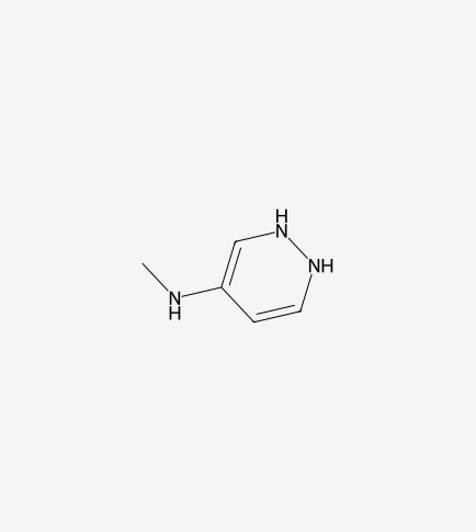 CNC1=CNNC=C1